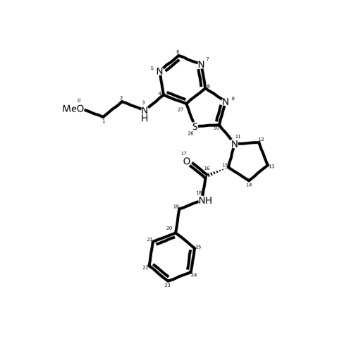 COCCNc1ncnc2nc(N3CCC[C@@H]3C(=O)NCc3ccccc3)sc12